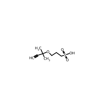 C#CC(C)(C)OCCCS(=O)(=O)O